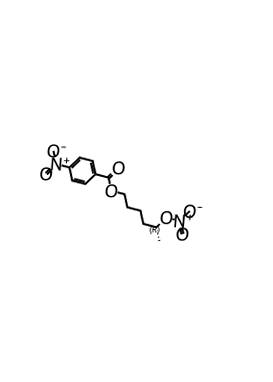 C[C@H](CCCCOC(=O)c1ccc([N+](=O)[O-])cc1)O[N+](=O)[O-]